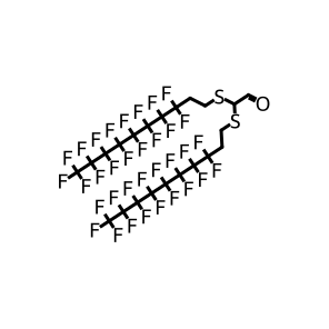 O=CC(SCCC(F)(F)C(F)(F)C(F)(F)C(F)(F)C(F)(F)C(F)(F)C(F)(F)C(F)(F)F)SCCC(F)(F)C(F)(F)C(F)(F)C(F)(F)C(F)(F)C(F)(F)C(F)(F)C(F)(F)F